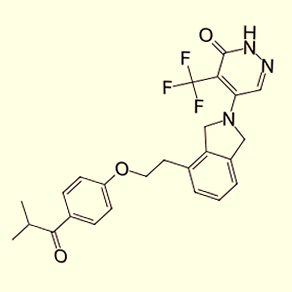 CC(C)C(=O)c1ccc(OCCc2cccc3c2CN(c2cn[nH]c(=O)c2C(F)(F)F)C3)cc1